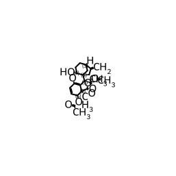 C=C1C[C@]23C[C@@H]1CC[C@@]2(O)OC1=C([C@@H]3C(=O)OC)[C@](C)(C(=O)OC)[C@@H](OC(C)=O)C=C1